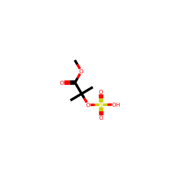 COC(=O)C(C)(C)OS(=O)(=O)O